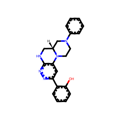 Oc1ccccc1-c1cc2c(nn1)NC[C@@H]1CN(c3ccccc3)CCN21